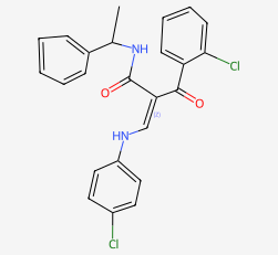 CC(NC(=O)/C(=C\Nc1ccc(Cl)cc1)C(=O)c1ccccc1Cl)c1ccccc1